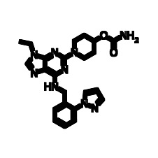 CCn1cnc2c(NCc3ccccc3-n3cccn3)nc(N3CCC(OC(N)=O)CC3)nc21